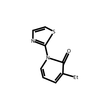 CCc1cccn(-c2nccs2)c1=O